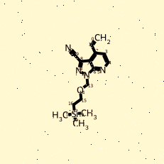 C=Cc1ccnc2c1c(C#N)nn2COCC[Si](C)(C)C